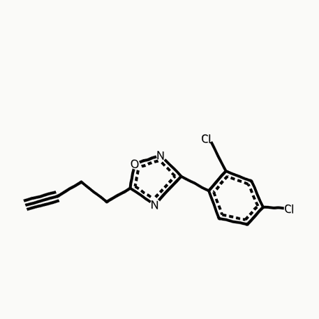 C#CCCc1nc(-c2ccc(Cl)cc2Cl)no1